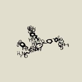 Cn1c(=O)n(C2CCC(=O)NC2=O)c2ccc(C[C@H]3CC[C@H](CC(=O)N4CC[C@H]5CC[C@@H](C(=O)NC(CCC(N)=O)C(=O)NCc6ccc(S(C)(=O)=O)cc6)N5C(=O)[C@@H](NC(=O)c5cc6cc(C(=O)P(=O)(O)O)ccc6[nH]5)C4)CC3)cc21